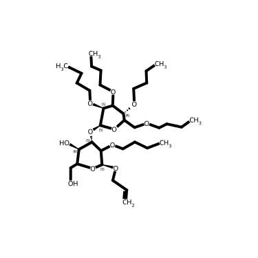 C=CCO[C@H]1OC(CO)[C@@H](O)[C@H](O[C@@H]2OC(COCCCC)[C@@H](OCCCC)C(OCCCC)[C@@H]2OCCCC)C1OCCCC